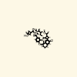 CCC(C)C(C)S(=O)(=NC(=O)c1ccc2c(c1)N(CC1CCC1C(C)OC)CC1(CCCc3cc(Cl)ccc31)CO2)NC(=O)C1CC(C)(O)C1